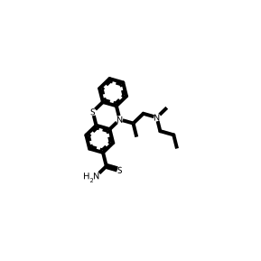 CCCN(C)CC(C)N1c2ccccc2Sc2ccc(C(N)=S)cc21